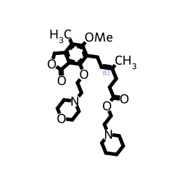 COc1c(C)c2c(c(OCCN3CCOCC3)c1C/C=C(\C)CCC(=O)OCCN1CCCCC1)C(=O)OC2